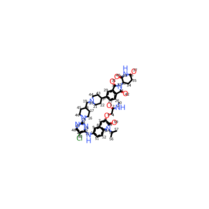 CNC(=O)COc1cc2cc(Nc3nc(N4CCC(CN5CCC(c6ccc7c(c6)C(=O)N(C6CCC(=O)NC6=O)C7=O)CC5)CC4)ncc3Cl)ccc2n(C(C)C)c1=O